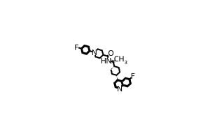 C[C@@H](NC(=O)C1CCN(c2ccc(F)cc2)CC1)[C@H]1CC[C@@H](c2ccnc3ccc(F)cc32)CC1